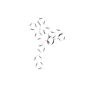 c1ccc(-c2ccc(N(c3ccc(-c4ccc5ccccc5c4)cc3)c3ccc4c(c3)C3(c5ccccc5-4)c4ccccc4-c4cc5c6ccccc6c6ccccc6c5cc43)cc2)cc1